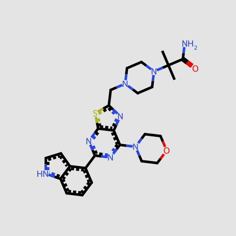 CC(C)(C(N)=O)N1CCN(Cc2nc3c(N4CCOCC4)nc(-c4cccc5[nH]ccc45)nc3s2)CC1